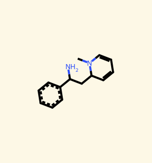 CN1C=CC=CC1CC(N)c1ccccc1